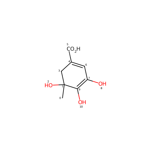 CC1(O)CC(C(=O)O)=CC(O)=C1O